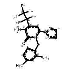 Cc1ccc(Cn2c(-c3nccs3)cc(C(F)(F)C(F)(F)F)c(N)c2=O)c(C)c1